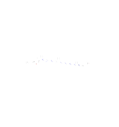 CO[C@H]1CC(C)(C)C(/C=C/C(C)=C/C=C/C(C)=C/C=C/C=C(C)/C=C/C=C(C)/C=C/[C@H]2C(C)C[C@@H](O)CC2(C)C)=C(C)C1=O